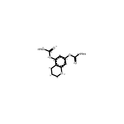 CCCCCCC(=O)Oc1cc2c(c(OC(=O)CCCCCC)c1)CCCO2